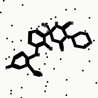 C[C@@]1(c2cccc(Nc3ccc(F)cc3C#N)c2Cl)CC(=O)N(C2CCOCC2)C(=N)N1